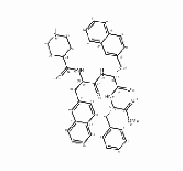 COC(=O)[C@H](Cc1ccccc1)NC(=O)[C@@H](Cc1ccc2ccccc2c1)NC(=O)[C@@H](Cc1ccc2ccccc2c1)NC(=O)C1CCNCC1